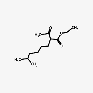 CCOC(=O)C(CCCCC(C)C)C(C)=O